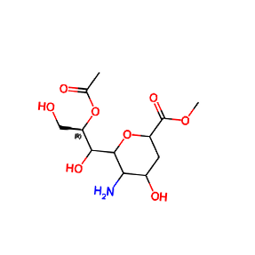 COC(=O)C1CC(O)C(N)C(C(O)[C@@H](CO)OC(C)=O)O1